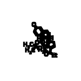 CCC(=O)C1=CC[C@H]2[C@@H]3CCC4=CC(=O)C=C[C@]4(C)[C@H]3[C@@H](O[Si](C)(C)C)C[C@]12C